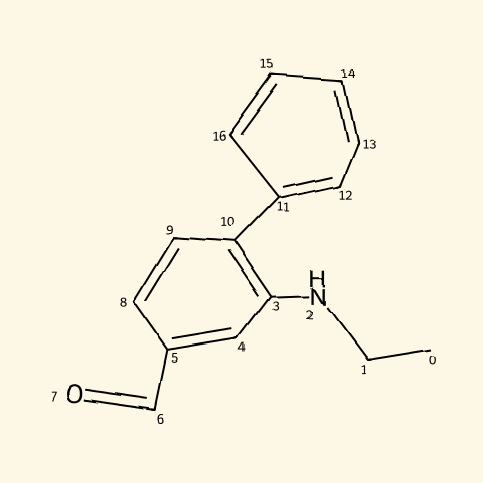 CCNc1cc(C=O)ccc1-c1ccccc1